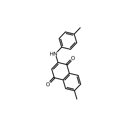 Cc1ccc(NC2=CC(=O)c3cc(C)ccc3C2=O)cc1